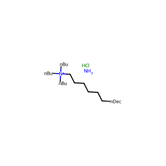 CCCCCCCCCCCCCCCC[N+](CCCC)(CCCC)CCCC.Cl.N